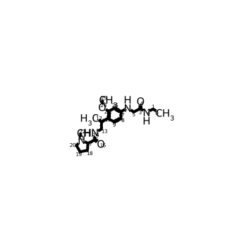 CCNC(=O)CNc1ccc(C(C)CNC(=O)C2CCCN2C)c(OC)c1